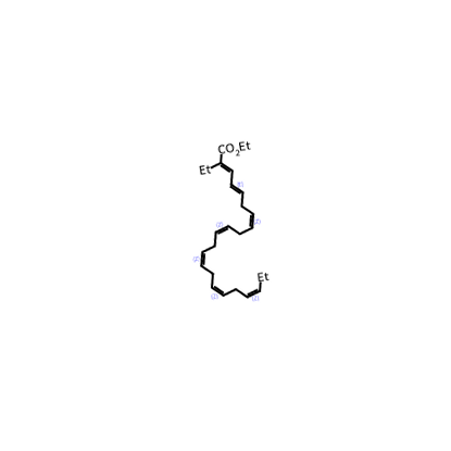 CC/C=C\C/C=C\C/C=C\C/C=C\C/C=C\C/C=C/C=C(CC)C(=O)OCC